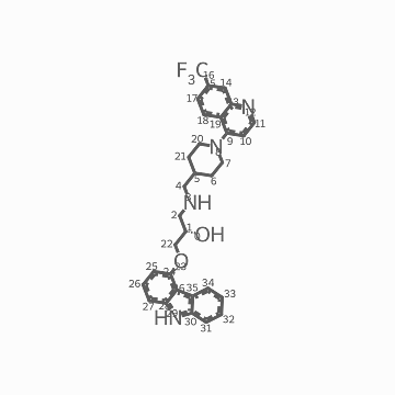 O[C@@H](CNCC1CCN(c2ccnc3cc(C(F)(F)F)ccc23)CC1)COc1cccc2[nH]c3ccccc3c12